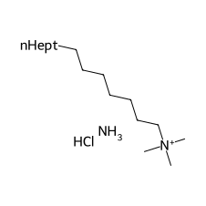 CCCCCCCCCCCCCC[N+](C)(C)C.Cl.N